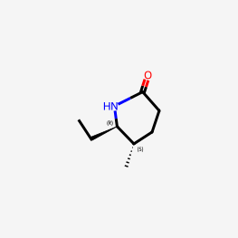 CC[C@H]1NC(=O)CC[C@@H]1C